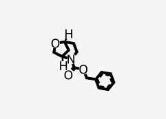 O=C(OCc1ccccc1)N1CC[C@@H]2C[C@H]1CO2